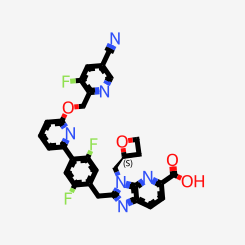 N#Cc1cnc(COc2cccc(-c3cc(F)c(Cc4nc5ccc(C(=O)O)nc5n4C[C@@H]4CCO4)cc3F)n2)c(F)c1